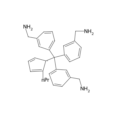 CCCC1=CC=C[C]1C(c1cccc(CN)c1)(c1cccc(CN)c1)c1cccc(CN)c1